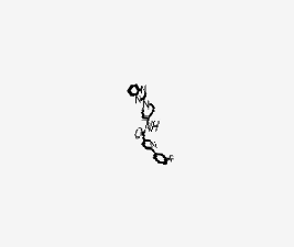 O=C(NC1CCN(c2cnc3ccccc3n2)CC1)c1ccc(-c2cccc(F)c2)nc1